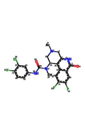 CC(=O)N1Cc2[nH]c(=O)c3cc(F)c(F)cc3c2C(N(C)C(=O)Nc2ccc(F)c(Cl)c2)C1